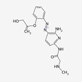 C=C(CO)Oc1ccccc1/N=N/c1ccc(NC(=O)CNC)nc1N